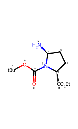 CCOC(=O)[C@@H]1CC[C@H](N)N1C(=O)OC(C)(C)C